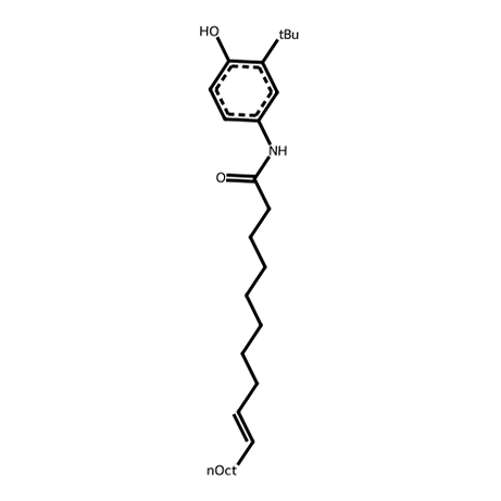 CCCCCCCCC=CCCCCCCCC(=O)Nc1ccc(O)c(C(C)(C)C)c1